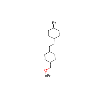 CCCOCC1CCC(CC[C@H]2CC[C@H](CC)CC2)CC1